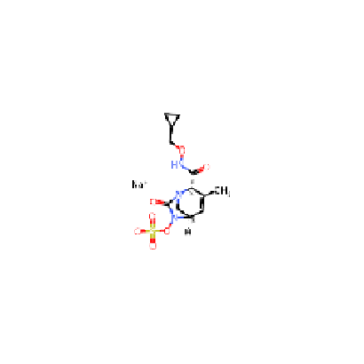 CC1=C[C@@H]2CN(C(=O)N2OS(=O)(=O)[O-])[C@@H]1C(=O)NOCC1CC1.[Na+]